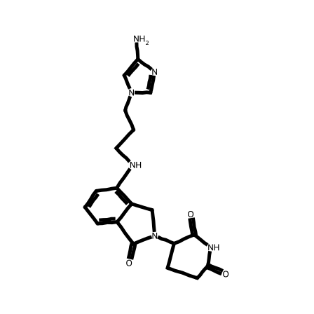 Nc1cn(CCCNc2cccc3c2CN(C2CCC(=O)NC2=O)C3=O)cn1